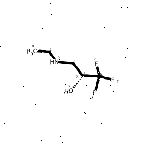 CCNC[C@@H](O)C(F)(F)F